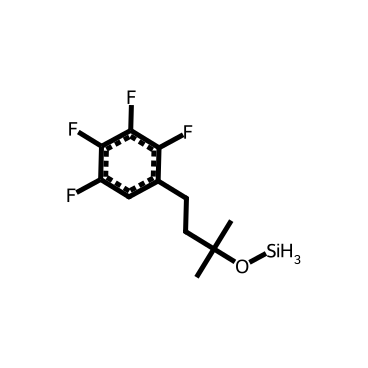 CC(C)(CCc1cc(F)c(F)c(F)c1F)O[SiH3]